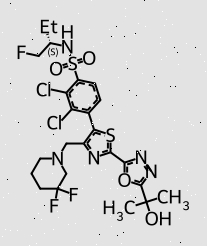 CC[C@@H](CF)NS(=O)(=O)c1ccc(-c2sc(-c3nnc(C(C)(C)O)o3)nc2CN2CCCC(F)(F)C2)c(Cl)c1Cl